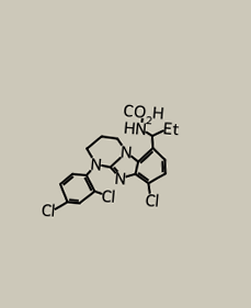 CCC(NC(=O)O)c1ccc(Cl)c2nc3n(c12)CCCN3c1ccc(Cl)cc1Cl